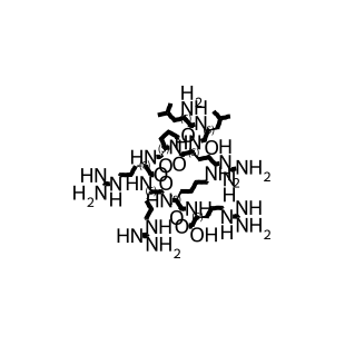 CC(C)C[C@H](NC(=O)[C@@H](N)CC(C)C)C(=O)N[C@@H](CCCNC(=N)N)C(=O)N1CCC[C@H]1C(=O)N[C@@H](CCCNC(=N)N)C(=O)N[C@@H](CCCNC(=N)N)C(=O)N[C@@H](CCCCN)C(=O)N[C@@H](CCCNC(=N)N)C(=O)O